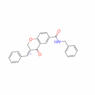 O=C(NCc1ccccc1)c1ccc2c(c1)C(=O)/C(=C/c1ccccc1)CO2